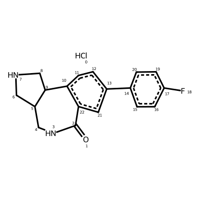 Cl.O=C1NCC2CNCC2c2ccc(-c3ccc(F)cc3)cc21